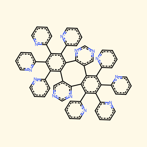 c1ccc(-c2c(-c3ccccn3)c(-c3ccccn3)c3c(c2-c2ccccn2)-c2cncnc2-c2c(-c4ccccn4)c(-c4ccccn4)c(-c4ccccn4)c(-c4ccccn4)c2-c2cncnc2-3)nc1